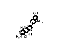 N=C(c1ccnc(N)c1Cl)c1ncc(N2CCC3(CC2)C[C@H](O)C[C@H]3N)nc1N